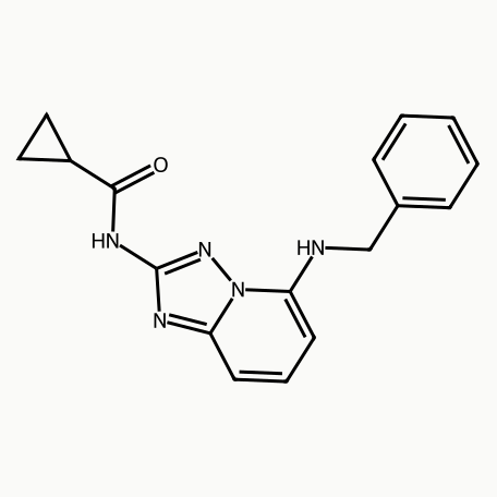 O=C(Nc1nc2cccc(NCc3ccccc3)n2n1)C1CC1